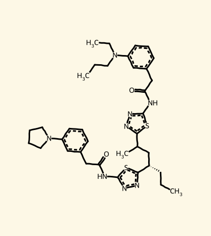 CCC[C@@H](CC(C)c1nnc(NC(=O)Cc2cccc(N(CC)CCC)c2)s1)c1nnc(NC(=O)Cc2cccc(N3CCCC3)c2)s1